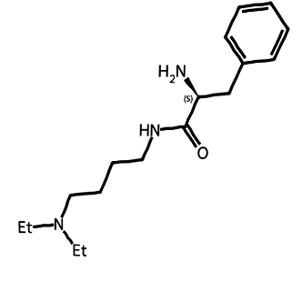 CCN(CC)CCCCNC(=O)[C@@H](N)Cc1ccccc1